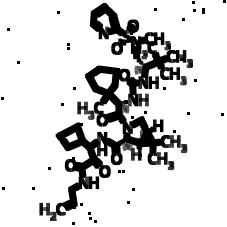 C=CCNC(=O)C(=O)C(NC(=O)[C@@H]1[C@@H]2[C@H](CN1C(=O)[C@@H](NC(=O)N[C@H](CN(C)S(=O)(=O)c1ccccn1)C(C)(C)C)C1(C)CCCCC1)C2(C)C)C1CCC1